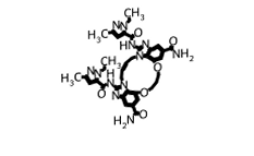 CCn1nc(C)cc1C(=O)Nc1nc2cc(C(N)=O)cc3c2n1C/C=C\Cn1c(NC(=O)c2cc(C)nn2CC)nc2cc(C(N)=O)cc(c21)OCCCO3